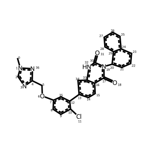 Cn1cnc(COc2ccc(Cl)c(-c3ccc4c(=O)n(-c5cccc6ccccc56)c(=O)[nH]c4c3)c2)n1